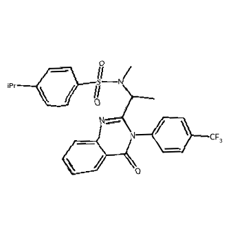 CC(C)c1ccc(S(=O)(=O)N(C)C(C)c2nc3ccccc3c(=O)n2-c2ccc(C(F)(F)F)cc2)cc1